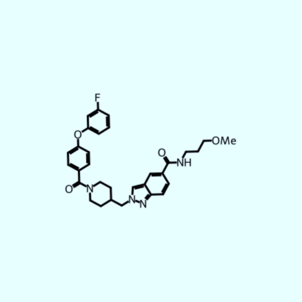 COCCCNC(=O)c1ccc2nn(CC3CCN(C(=O)c4ccc(Oc5cccc(F)c5)cc4)CC3)cc2c1